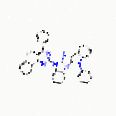 c1ccc(-c2nc(-n3c4ccccc4n4c3nc3c5ccccc5n(-c5ccccc5)c34)nc3c2ccc2ccccc23)cc1